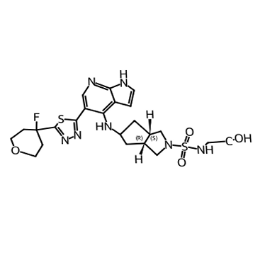 O=S(=O)(NCCO)N1C[C@H]2CC(Nc3c(-c4nnc(C5(F)CCOCC5)s4)cnc4[nH]ccc34)C[C@H]2C1